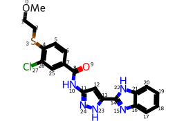 COCCSc1ccc(C(=O)Nc2cc(-c3nc4ccccc4[nH]3)[nH]n2)cc1Cl